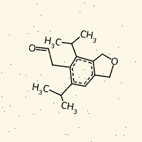 CC(C)c1cc2c(c(C(C)C)c1CC=O)COC2